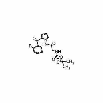 CC(C)(C)OC(=O)NCC(=O)Nn1cccc1C(=O)c1ccccc1F